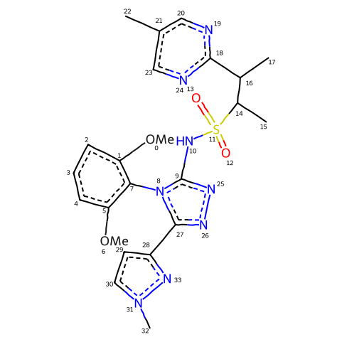 COc1cccc(OC)c1-n1c(NS(=O)(=O)C(C)C(C)c2ncc(C)cn2)nnc1-c1ccn(C)n1